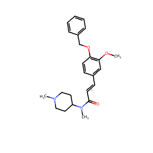 COc1cc(/C=C/C(=O)N(C)C2CCN(C)CC2)ccc1OCc1ccccc1